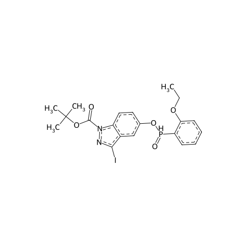 CCOc1ccccc1[PH](=O)Oc1ccc2c(c1)c(I)nn2C(=O)OC(C)(C)C